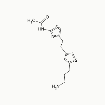 CC(=O)Nc1nc(CCc2csc(CCCN)c2)cs1